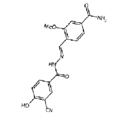 COc1cc(C(N)=O)ccc1C=NNC(=O)c1ccc(O)c(C#N)c1